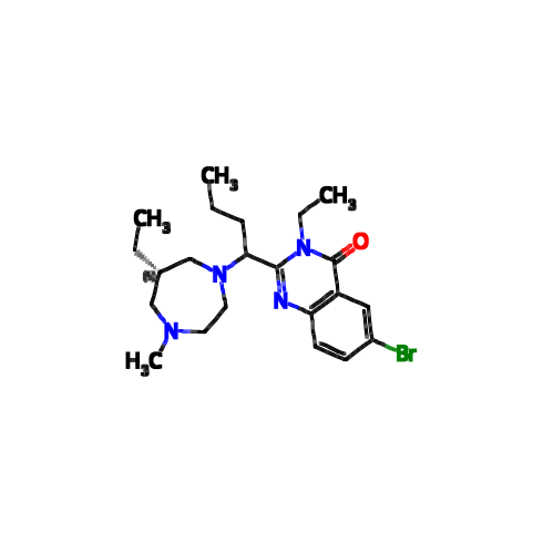 CCCC(c1nc2ccc(Br)cc2c(=O)n1CC)N1CCN(C)C[C@H](CC)C1